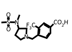 CN(C1CCN(Cc2ccc(C(=O)O)cc2C(F)(F)F)C1)S(C)(=O)=O